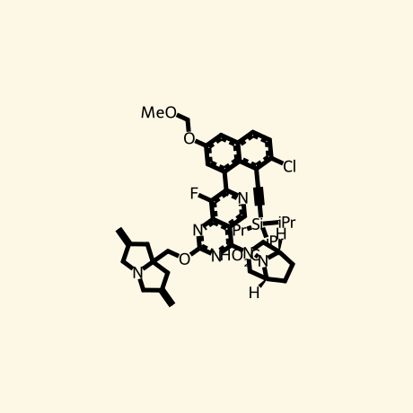 C=C1CN2CC(=C)CC2(COc2nc(N3C[C@H]4CC[C@@H](C3)N4C(=O)O)c3cnc(-c4cc(OCOC)cc5ccc(Cl)c(C#C[Si](C(C)C)(C(C)C)C(C)C)c45)c(F)c3n2)C1